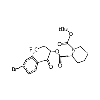 CC(C)(C)OC(=O)N1CCCC[C@H]1C(=O)OC(CC(F)(F)F)C(=O)c1ccc(Br)cc1